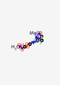 COC(=O)N[C@H]1CCC[C@@H]1[C@](CN1CCC1)(c1cccc(F)c1)C1CCN(CC2(F)CN(c3ccc(S(=O)(=O)c4ccc(C(=O)N5CC(C)(O)C5)cc4)cc3)C2)CC1